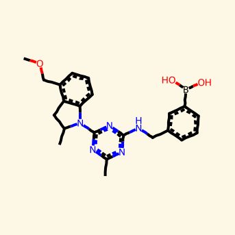 COCc1cccc2c1CC(C)N2c1nc(C)nc(NCc2cccc(B(O)O)c2)n1